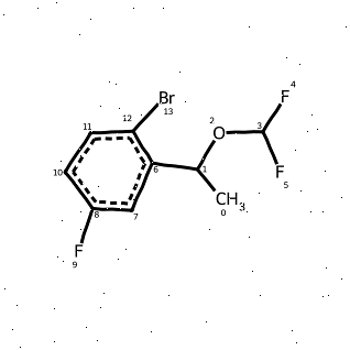 CC(OC(F)F)c1cc(F)ccc1Br